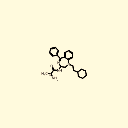 C[C@H](N)C(=O)NC1CN(CCC2CCCCC2)c2ccccc2C(c2ccccc2)=N1